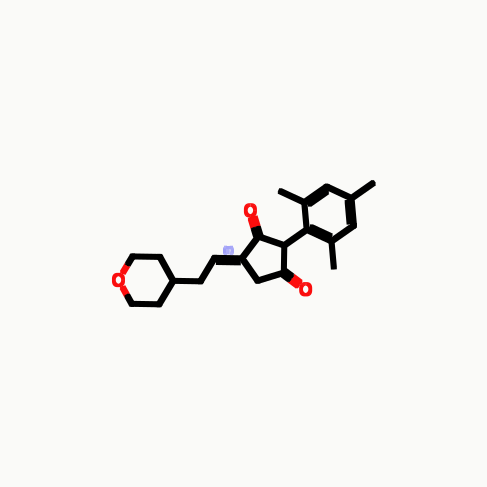 Cc1cc(C)c(C2C(=O)C/C(=C\CC3CCOCC3)C2=O)c(C)c1